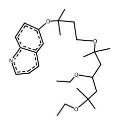 CCOC(CC(C)(C)OCC)CC(C)(C)OCCC(C)(C)Oc1ccc2ncccc2c1